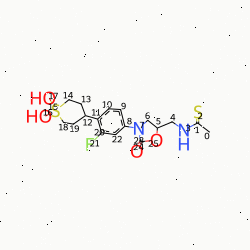 CC(=S)NCC1CN(c2ccc(C3CCS(O)(O)CC3)c(F)c2)C(=O)O1